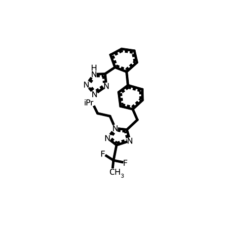 CC(C)CCn1nc(C(C)(F)F)nc1Cc1ccc(-c2ccccc2-c2nnn[nH]2)cc1